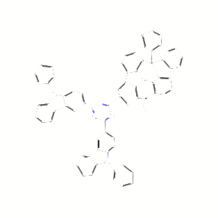 CC1(C)c2cccc3c2-n2c4c1cc(-c1nc(-c5ccc6c(c5)c5ccccc5n6-c5ccccc5)nc(-c5ccc6c(c5)c5ccccc5n6-c5ccccc5)n1)cc4c1cccc(c12)C3(c1ccccc1)c1ccccc1